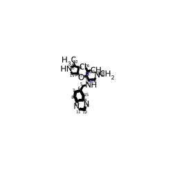 C=N/C=C(NCc1ccc2nccnc2c1)\C(O[C@H]1CN[C@@H](C)C1)=C(/C)Cl